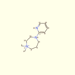 C[N+]1(C)CCCN(c2ccccn2)CC1